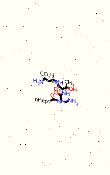 CCCCCCCC(=O)N[C@@H](CN)C(=O)N[C@H](C(=O)N[C@H](CCN)C(=O)O)[C@@H](C)O